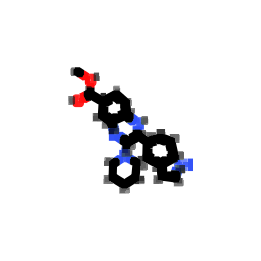 COC(=O)c1ccc2nc(-c3ccc4[nH]ccc4c3)c(N3CCCCC3)nc2c1